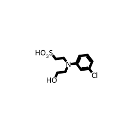 O=S(=O)(O)CCN(CCO)c1cccc(Cl)c1